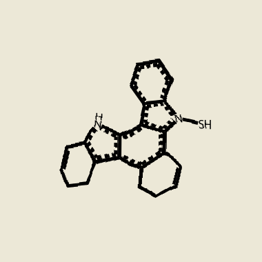 Sn1c2ccccc2c2c3[nH]c4c(c3c3c(c21)C=CCC3)CCC=C4